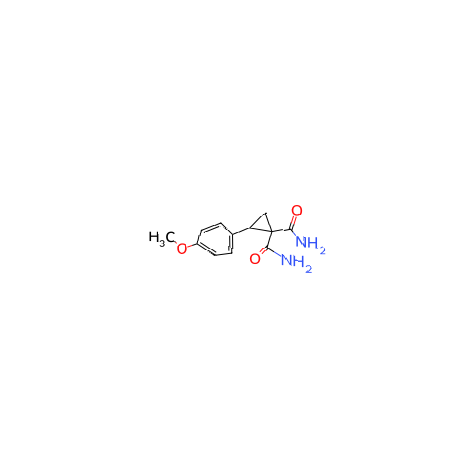 COc1ccc(C2CC2(C(N)=O)C(N)=O)cc1